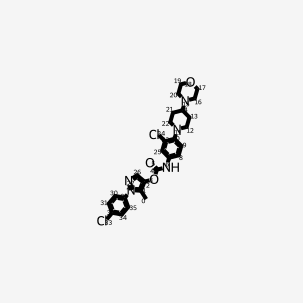 Cc1c(OC(=O)Nc2ccc(N3CCC(N4CCOCC4)CC3)c(Cl)c2)cnn1-c1ccc(Cl)cc1